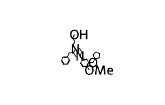 COc1ccc(N2CCN(CCCO)C(Cc3ccccc3)C2)cc1OC1CCCC1